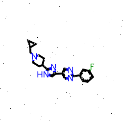 Fc1cccc(-c2ncc(-c3c[nH]c(C4CCN(CC5CC5)CC4)n3)cn2)c1